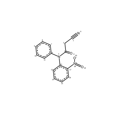 N#CCC(=O)N(c1ccccc1)c1ccccc1[N+](=O)[O-]